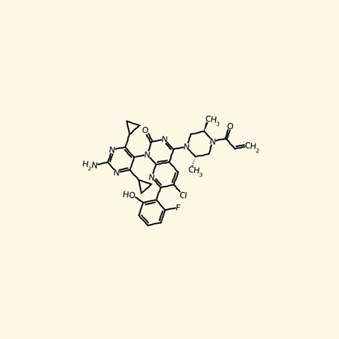 C=CC(=O)N1C[C@H](C)N(c2nc(=O)n(-c3c(C4CC4)nc(N)nc3C3CC3)c3nc(-c4c(O)cccc4F)c(Cl)cc23)C[C@H]1C